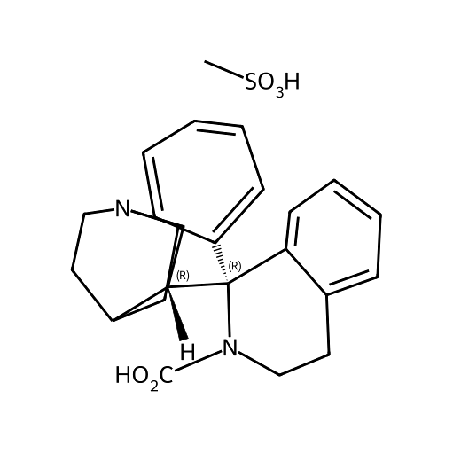 CS(=O)(=O)O.O=C(O)N1CCc2ccccc2[C@]1(c1ccccc1)[C@H]1CN2CCC1CC2